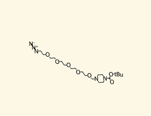 CC(C)(C)OC(=O)N1CCN(COCCOCCOCCOCCOCCN=[N+]=[N-])CC1